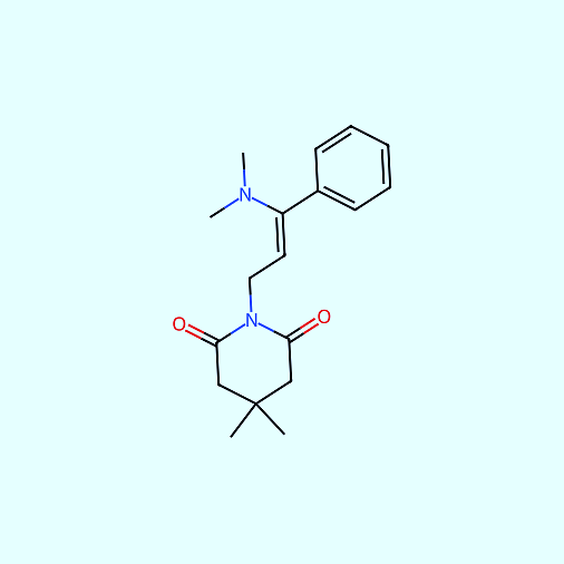 CN(C)C(=CCN1C(=O)CC(C)(C)CC1=O)c1ccccc1